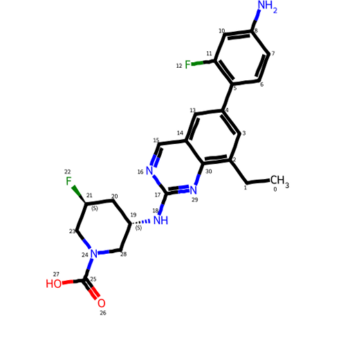 CCc1cc(-c2ccc(N)cc2F)cc2cnc(N[C@H]3C[C@H](F)CN(C(=O)O)C3)nc12